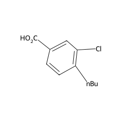 CCCCc1ccc(C(=O)O)cc1Cl